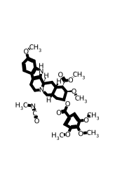 CN=C=O.COC(=O)[C@H]1[C@H]2C[C@@H]3c4[nH]c5cc(OC)ccc5c4CCN3C[C@H]2C[C@@H](OC(=O)c2cc(OC)c(OC)c(OC)c2)[C@@H]1OC